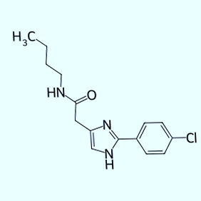 CCCCNC(=O)Cc1c[nH]c(-c2ccc(Cl)cc2)n1